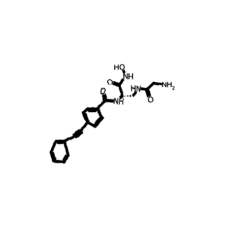 NCC(=O)NC[C@H](NC(=O)c1ccc(C#Cc2ccccc2)cc1)C(=O)NO